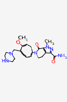 CO/C1=C/C/C(N2CCc3c(C(N)=O)nn(C)c3C2=O)=C\C=C=C1CN1CCNCC1